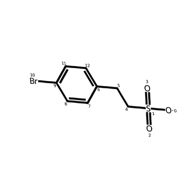 [O]S(=O)(=O)CCc1ccc(Br)cc1